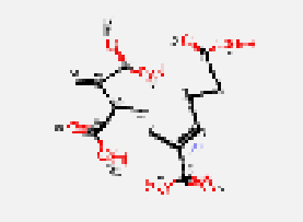 C/C(=C\CCC(=O)O)C(=O)O.C=C(C(=O)O)C(C)C(=O)O